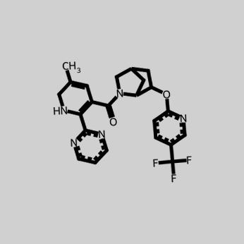 CC1=CC(C(=O)N2CC3CC(Oc4ccc(C(F)(F)F)cn4)C2C3)=C(c2ncccn2)NC1